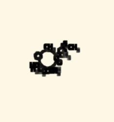 CC(=Cc1csc(C)n1)[C@@H]1C/C=C(/C)Cc2cccc(c2)[C@H](O)[C@@H](C)C(=O)C(C)(C)[C@@H](O)CC(=O)O1